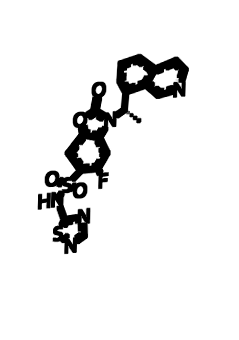 C[C@@H](c1cccc2ccncc12)n1c(=O)oc2cc(S(=O)(=O)Nc3ncns3)c(F)cc21